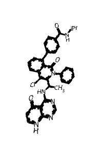 CC(C)NC(=O)c1ccc(-c2cccc3c(Cl)c(C(C)Nc4ncnc5[nH]ccc(=O)c45)n(-c4ccccc4)c(=O)c23)cc1